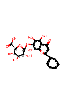 O=C(O)[C@H]1O[C@@](O)(Oc2cc3oc(-c4ccccc4)cc(=O)c3c(O)c2O)[C@H](O)[C@@H](O)[C@@H]1O